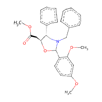 COC(=O)[C@@H]1OC(c2ccc(OC)cc2OC)N(Cc2ccccc2)[C@H]1c1ccccc1